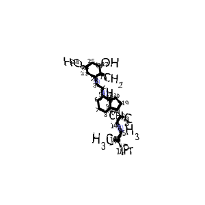 C=C1/C(=C\C=C2/CCC[C@]3(C)[C@@H](C(C)/C=C/[C@H](C)C(C)C)CC[C@@H]23)C[C@@H](O)C[C@@H]1O